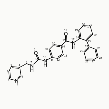 O=C(NCc1cccnc1)Nc1ccc(C(=O)Nc2ccccc2-c2ccccc2)cc1